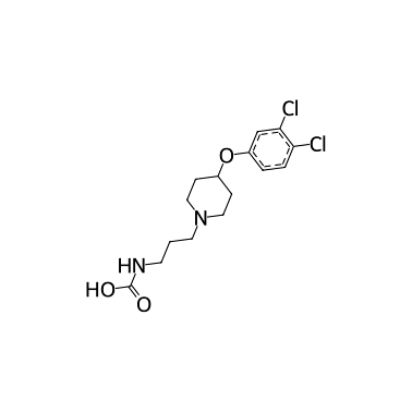 O=C(O)NCCCN1CCC(Oc2ccc(Cl)c(Cl)c2)CC1